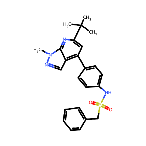 Cn1ncc2c(-c3ccc(NS(=O)(=O)Cc4ccccc4)cc3)cc(C(C)(C)C)nc21